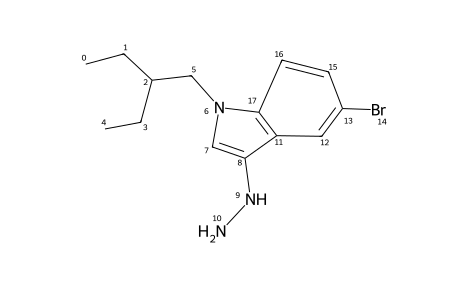 CCC(CC)Cn1cc(NN)c2cc(Br)ccc21